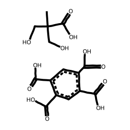 CC(CO)(CO)C(=O)O.O=C(O)c1cc(C(=O)O)c(C(=O)O)cc1C(=O)O